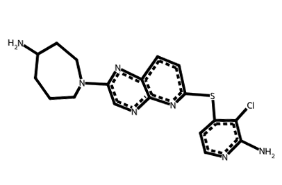 Nc1nccc(Sc2ccc3nc(N4CCCC(N)CC4)cnc3n2)c1Cl